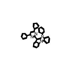 c1ccc(-c2cc(-c3ccccc3)nc(-c3c4ccccc4n4c5ccccc5n(-c5ccccc5)c34)n2)cc1